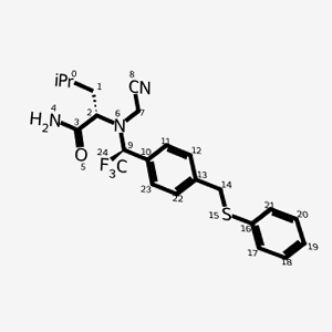 CC(C)C[C@@H](C(N)=O)N(CC#N)[C@@H](c1ccc(CSc2ccccc2)cc1)C(F)(F)F